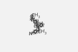 COC1CCN(c2ccc(NC(=O)/C(=N/CC(C)c3ccc(C#N)cc3)c3ccccc3)nc2)C1